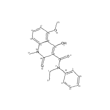 CCN(C(=O)c1c(O)c2c(OC)cccc2n(C)c1=O)c1ccccc1